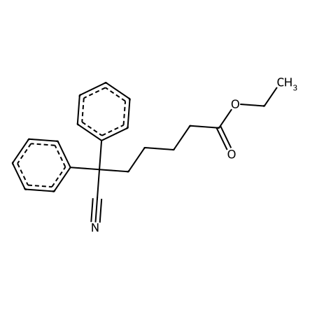 CCOC(=O)CCCCC(C#N)(c1ccccc1)c1ccccc1